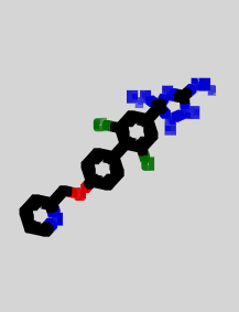 NC1=NC(N)(c2cc(Cl)c(-c3ccc(OCc4ccccn4)cc3)c(Cl)c2)NN1